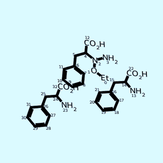 CCON(N)C(Cc1ccccc1)C(=O)O.NC(Cc1ccccc1)C(=O)O.NC(Cc1ccccc1)C(=O)O